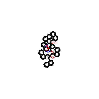 O=C(N[C@@H](c1cccc2ccccc12)C(O)(Cc1cccc2ccccc12)Cc1cccc2ccccc12)C1(C(=O)N[C@@H](c2cccc3ccccc23)C(O)(Cc2cccc3ccccc23)Cc2cccc3ccccc23)CCCC1